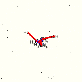 C#CC#CC#CC#CC#CC#CC#CC#CC#C[N+](C)(C)CCCN1CN(CCC[N+](C)(C)C)CN(CCC[N+](C)(C)C#CC#CC#CC#CC#CC#CC#CC#CC#C)C1